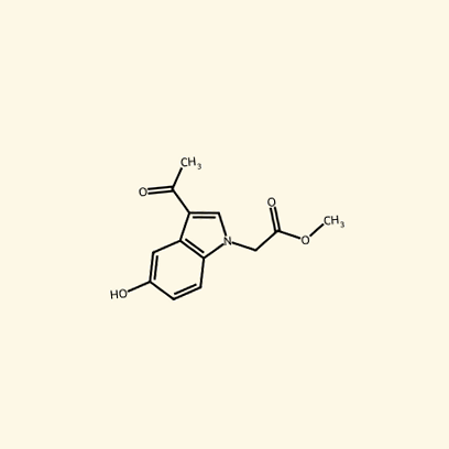 COC(=O)Cn1cc(C(C)=O)c2cc(O)ccc21